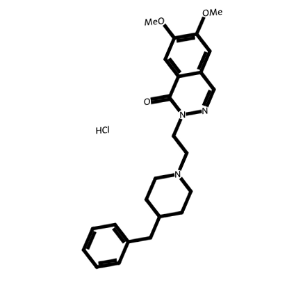 COc1cc2cnn(CCN3CCC(Cc4ccccc4)CC3)c(=O)c2cc1OC.Cl